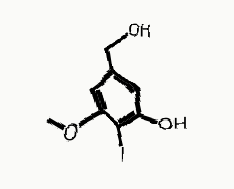 COc1cc(CO)cc(O)c1I